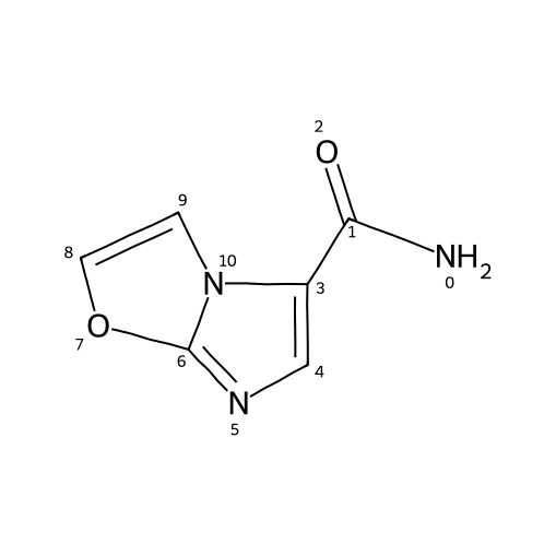 NC(=O)c1cnc2occn12